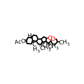 CC(=O)O[C@@H]1CC[C@]2(C)C3C[C@H](C)[C@@]4(C)C(CC5OC6(CCC(C)CO6)[C@@H](C)C54)C3CC[C@@H]2C1